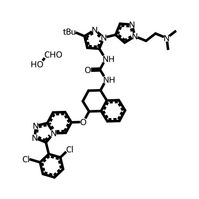 CN(C)CCn1cc(-n2nc(C(C)(C)C)cc2NC(=O)NC2CCC(Oc3ccc4nnc(-c5c(Cl)cccc5Cl)n4c3)c3ccccc32)cn1.O=CO